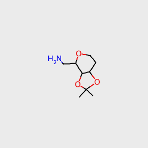 CC1(C)OC2CCOC(CN)C2O1